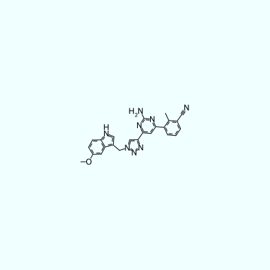 COc1ccc2[nH]cc(Cn3cc(-c4cc(-c5cccc(C#N)c5C)nc(N)n4)nn3)c2c1